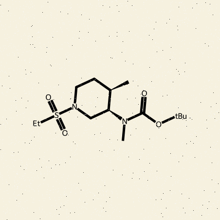 CCS(=O)(=O)N1CC[C@@H](C)[C@@H](N(C)C(=O)OC(C)(C)C)C1